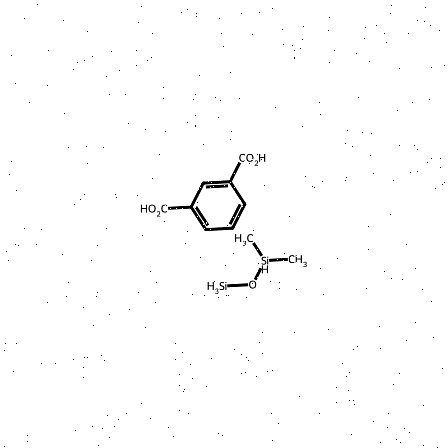 C[SiH](C)O[SiH3].O=C(O)c1cccc(C(=O)O)c1